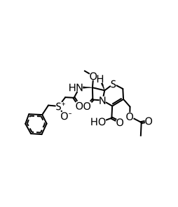 CO[C@@]1(NC(=O)C[S+]([O-])Cc2ccccc2)C(=O)N2C(C(=O)O)=C(COC(C)=O)CS[C@H]21